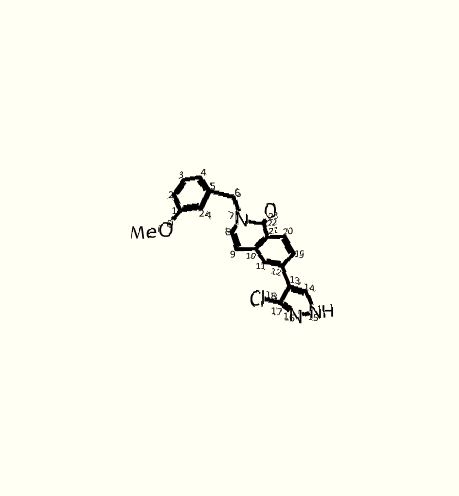 COc1cccc(Cn2ccc3cc(-c4c[nH]nc4Cl)ccc3c2=O)c1